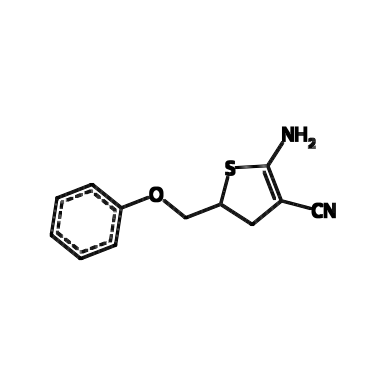 N#CC1=C(N)SC(COc2ccccc2)C1